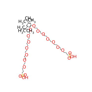 CC(C)(C)c1cc(OCCOCCOCCOCCOCCOCCOCCCS(=O)(=O)O)c(OCCOCCOCCOCCOCCOCCOCCCS(=O)(=O)O)c(C(C)(C)C)c1